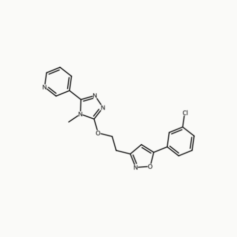 Cn1c(OCCc2cc(-c3cccc(Cl)c3)on2)nnc1-c1cccnc1